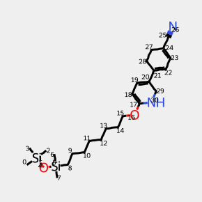 C[Si](C)(C)O[Si](C)(C)CCCCCCCCOC1=CC=C(C2=CC=C(C#N)CC2)CN1